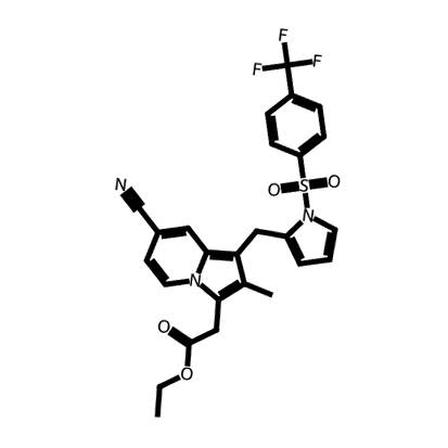 CCOC(=O)Cc1c(C)c(Cc2cccn2S(=O)(=O)c2ccc(C(F)(F)F)cc2)c2cc(C#N)ccn12